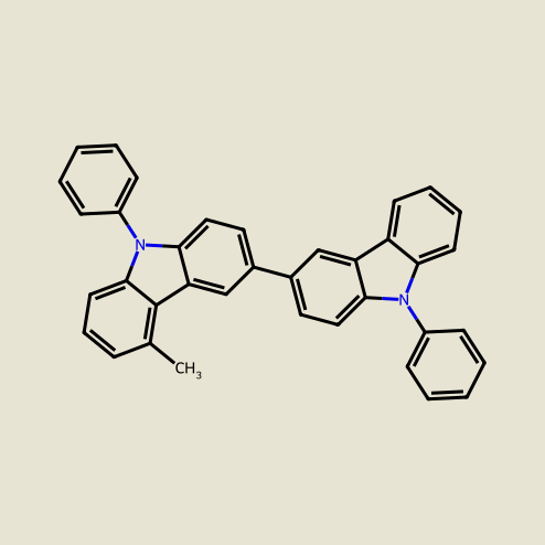 Cc1cccc2c1c1cc(-c3ccc4c(c3)c3ccccc3n4-c3ccccc3)ccc1n2-c1ccccc1